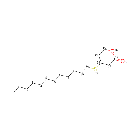 CCCCCCCCCCCCSC1CCOC(=O)C1